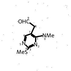 CNc1nc(SC)ncc1C[C]=O